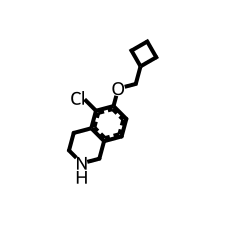 Clc1c(OCC2CCC2)ccc2c1CCNC2